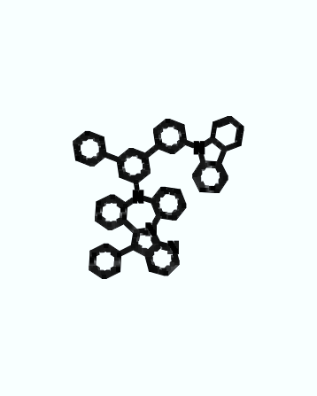 C1=CC2c3ccccc3N(c3cccc(-c4cc(-c5ccccc5)cc(N5c6ccccc6-c6c(-c7ccccc7)c7cccnc7n6-c6ccccc65)c4)c3)C2C=C1